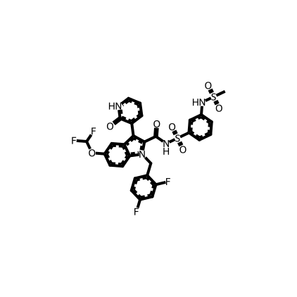 CS(=O)(=O)Nc1cccc(S(=O)(=O)NC(=O)c2c(-c3ccc[nH]c3=O)c3cc(OC(F)F)ccc3n2Cc2ccc(F)cc2F)c1